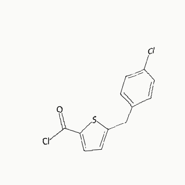 O=C(Cl)c1ccc(Cc2ccc(Cl)cc2)s1